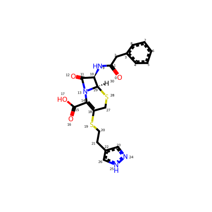 O=C(Cc1ccccc1)N[C@@H]1C(=O)N2C(C(=O)O)=C(SCCc3cn[nH]c3)CS[C@H]12